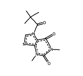 Cn1c(=O)c2c(ncn2C(=O)C(C)(C)C)n(C)c1=O